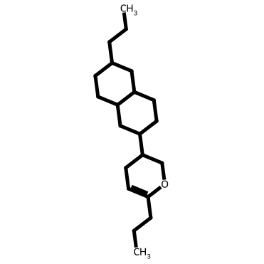 CCCC1=CCC(C2CCC3CC(CCC)CCC3C2)CO1